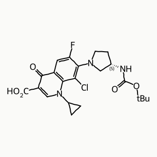 CC(C)(C)OC(=O)N[C@H]1CCN(c2c(F)cc3c(=O)c(C(=O)O)cn(C4CC4)c3c2Cl)C1